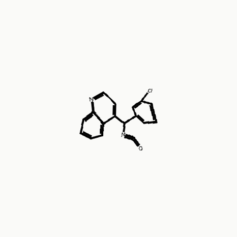 O=C=NC(c1cccc(Cl)c1)c1ccnc2ccccc12